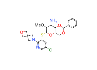 COC1C(Sc2cc(Cl)cnc2N2CC3(COC3)C2)OC2COC(c3ccccc3)OC2C1N